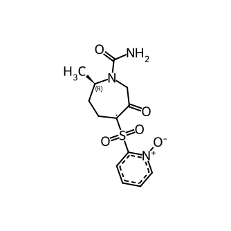 C[C@@H]1CC[C](S(=O)(=O)c2cccc[n+]2[O-])C(=O)CN1C(N)=O